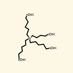 CCCCCCCCCCCCCCC[N+](CCCCCCCCCCCCCC)(CCCCCCCCCCCCCCC)CCCCCCCCCCCCCCC